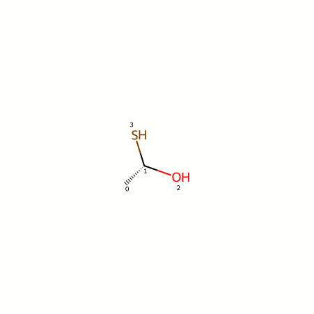 C[C@@H](O)S